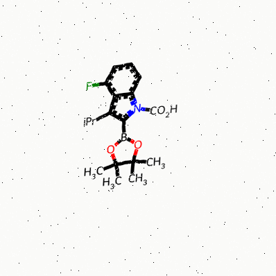 CC(C)c1c(B2OC(C)(C)C(C)(C)O2)n(C(=O)O)c2cccc(F)c12